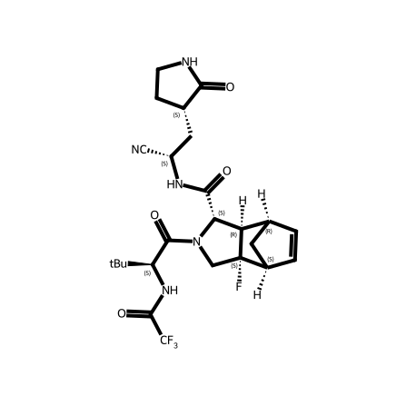 CC(C)(C)[C@H](NC(=O)C(F)(F)F)C(=O)N1C[C@@]2(F)[C@@H]([C@H]1C(=O)N[C@H](C#N)C[C@@H]1CCNC1=O)[C@H]1C=C[C@@H]2C1